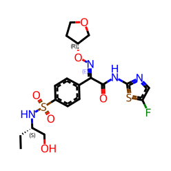 CC[C@@H](CO)NS(=O)(=O)c1ccc(/C(=N\O[C@@H]2CCOC2)C(=O)Nc2ncc(F)s2)cc1